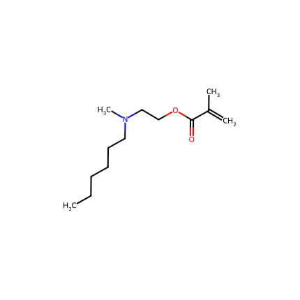 C=C(C)C(=O)OCCN(C)CCCCCC